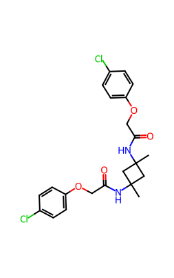 CC1(NC(=O)COc2ccc(Cl)cc2)CC(C)(NC(=O)COc2ccc(Cl)cc2)C1